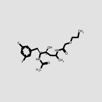 CCCOCC(=O)NC(C)C[C@H](O)[C@H](Cc1cc(F)cc(F)c1)NC(C)=O